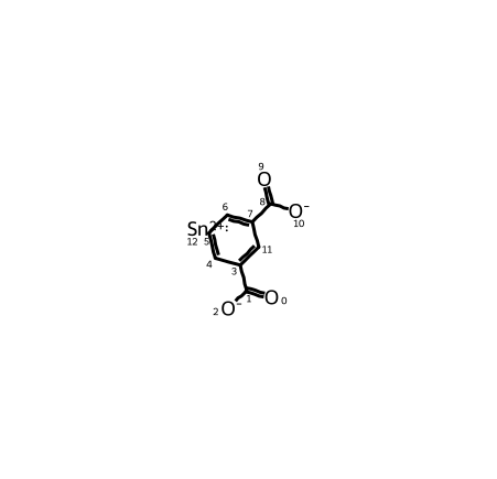 O=C([O-])c1cccc(C(=O)[O-])c1.[Sn+2]